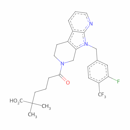 CC(C)(CCCC(=O)N1CCc2c(n(Cc3ccc(C(F)(F)F)c(F)c3)c3ncccc23)C1)C(=O)O